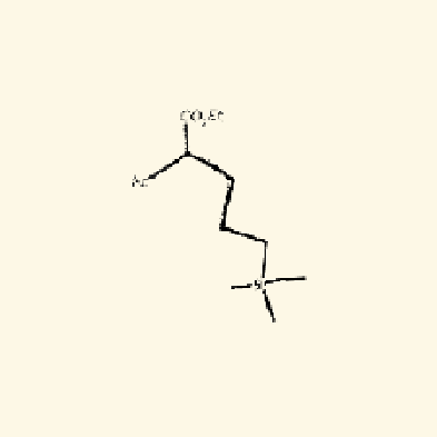 CCOC(=O)C(CCC[Si](C)(C)C)C(C)=O